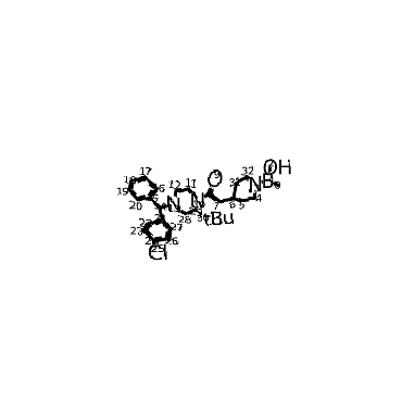 CB(O)N1CCC(CC(=O)N2CCN(C(c3ccccc3)c3ccc(Cl)cc3)C[C@@H]2C(C)(C)C)CC1